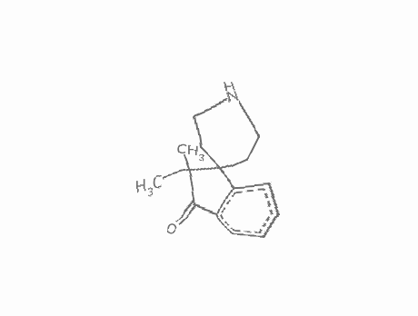 CC1(C)C(=O)c2ccccc2C12CCNCC2